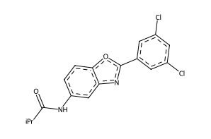 CC(C)C(=O)Nc1ccc2oc(-c3cc(Cl)cc(Cl)c3)nc2c1